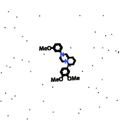 COc1cccc(N2CCN3C(CCC[C@@H]3c3ccc(OC)c(OC)c3)C2)c1